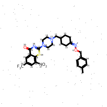 Cc1ccc(CON=C2CCC(CN3CCN(c4nc(=O)c5cc(C(F)(F)F)cc([N+](=O)[O-])c5s4)CC3)CC2)cc1